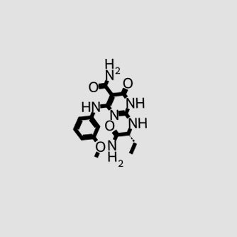 CC[C@@H](Nc1nc(Nc2cccc(OC)c2)c(C(N)=O)c(=O)[nH]1)C(N)=O